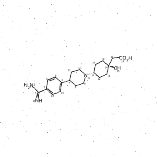 N=C(N)c1ccc(C2CCN([C@H]3CC[C@@](O)(CC(=O)O)CC3)CC2)cc1